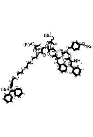 CC(C)(C)OC(=O)C[C@H](NC(=O)[C@H](CC(=O)OC(C)(C)C)NC(=O)[C@H](Cc1ccccc1)NC(=O)[C@H](Cc1ccc(OC(C)(C)C)cc1)NC(=O)[C@@H](N)Cc1ccccc1)C(=O)NCCOCCOCCOCC#C[Si](c1ccccc1)(c1ccccc1)C(C)(C)C